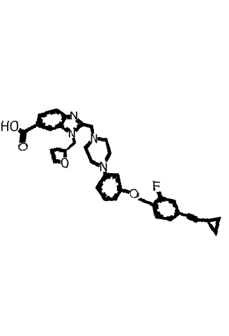 O=C(O)c1ccc2nc(CN3CCN(c4cccc(OCc5ccc(C#CC6CC6)cc5F)c4)CC3)n(C[C@@H]3CCO3)c2c1